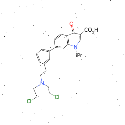 CC(C)n1cc(C(=O)O)c(=O)c2ccc(-c3cccc(CCN(CCCl)CCCl)c3)cc21